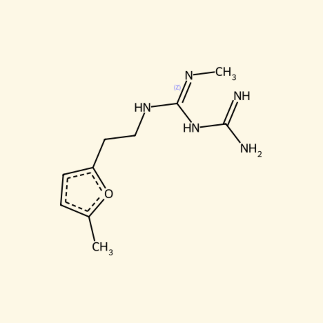 C/N=C(/NCCc1ccc(C)o1)NC(=N)N